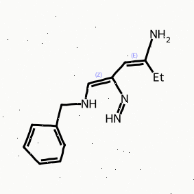 CC/C(N)=C\C(=C\NCc1ccccc1)N=N